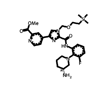 COC(=O)c1cc(-c2cn(COCC[Si](C)(C)C)c(C(=O)Nc3cccc(F)c3N3CCC[C@@H](N)C3)n2)ccn1